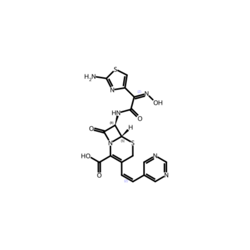 Nc1nc(/C(=N/O)C(=O)N[C@@H]2C(=O)N3C(C(=O)O)=C(/C=C\c4cncnc4)CS[C@@H]23)cs1